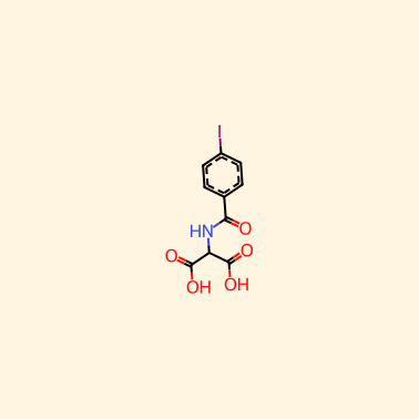 O=C(NC(C(=O)O)C(=O)O)c1ccc(I)cc1